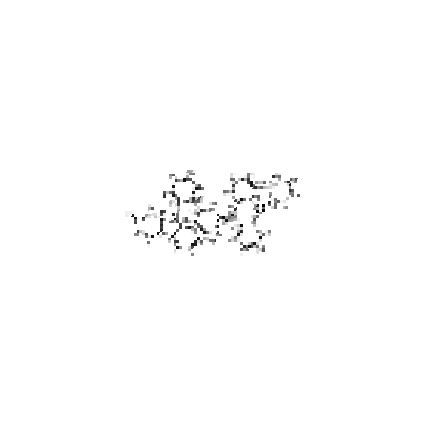 Cc1ccc2c3ccc(C)cc3n(-c3ccccc3-c3cccc(N(c4ccccc4)c4cccc5c4oc4ccccc45)c3)c2c1